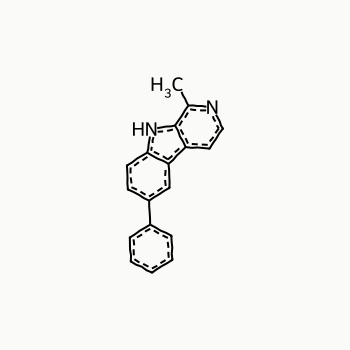 Cc1nccc2c1[nH]c1ccc(-c3ccccc3)cc12